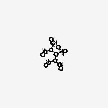 c1ccc(-n2c(-c3cc(-c4cc(-c5cnc6ccccc6c5)cc(-c5cnc6ccccc6c5)c4)cc(-c4cc(-c5cnc6ccccc6c5)cc(-c5cnc6ccccc6c5)c4)c3)nc3ccccc32)cc1